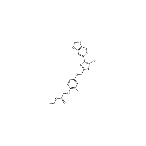 CCOC(=O)COc1ccc(OCc2nc(-c3ccc4c(c3)OCO4)c(Br)s2)cc1C